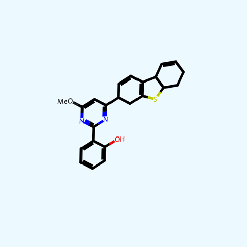 COc1cc(C2C=CC3=C(C2)SC2CCC=CC32)nc(-c2ccccc2O)n1